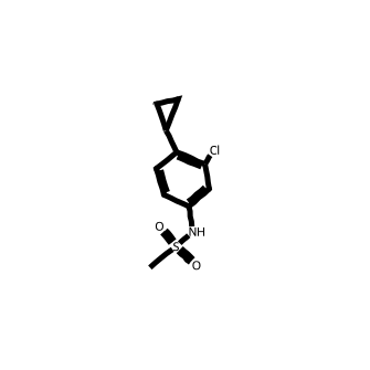 CS(=O)(=O)Nc1ccc(C2[CH]C2)c(Cl)c1